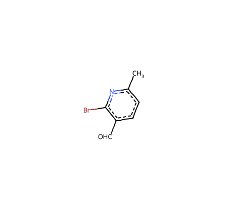 Cc1ccc(C=O)c(Br)n1